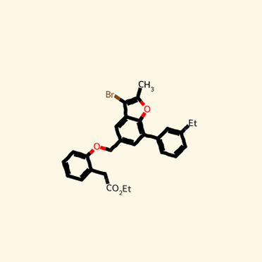 CCOC(=O)Cc1ccccc1OCc1cc(-c2cccc(CC)c2)c2oc(C)c(Br)c2c1